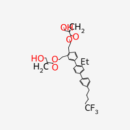 C=C(CO)C(=O)OCCc1ccc(-c2ccc(-c3ccc(CCCCC(F)(F)F)cc3)cc2CC)cc1CCOC(=O)C(=C)CO